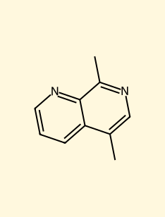 Cc1cnc(C)c2ncccc12